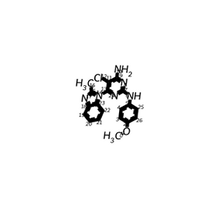 COc1ccc(Nc2nc(N)c(Cl)c(-n3c(C)nc4ccccc43)n2)cc1